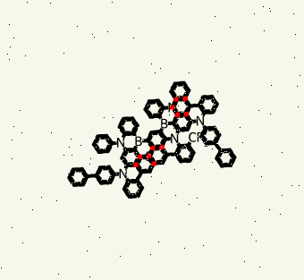 FC(F)(F)c1cccc(-c2ccccc2)c1N1c2cc3c(cc2B2c4ccccc4N(c4ccccc4)c4cc(N(c5ccc(-c6ccccc6)cc5)c5ccccc5-c5ccccc5)cc1c42)B1c2ccccc2N(c2ccccc2)c2cc(N(c4ccc(-c5ccccc5)cc4)c4ccccc4-c4ccccc4)cc(c21)S3